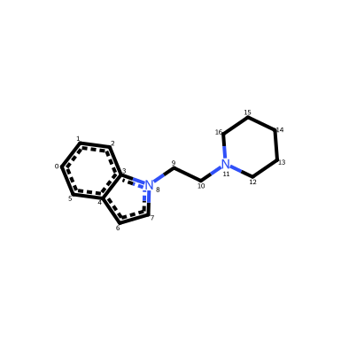 c1ccc2c(c1)ccn2CCN1CCCCC1